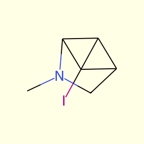 CN1CC2C3C1C23I